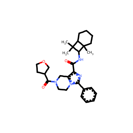 CC1(C)C2CCCCC2(C)C1NC(=O)c1nc(-c2ccccc2)n2c1CN(C(=O)C1CCOC1)CC2